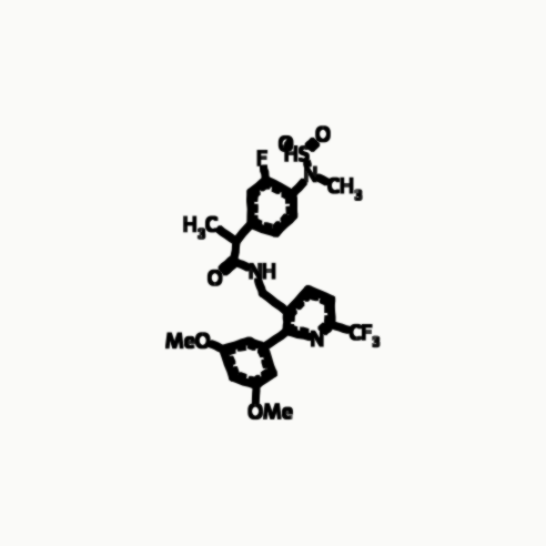 COc1cc(OC)cc(-c2nc(C(F)(F)F)ccc2CNC(=O)C(C)c2ccc(N(C)[SH](=O)=O)c(F)c2)c1